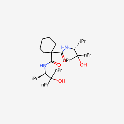 CCCC(O)(CCC)[C@H](NC(=O)C1(C(=O)N[C@H](C(C)C)C(O)(CCC)CCC)CCCCC1)C(C)C